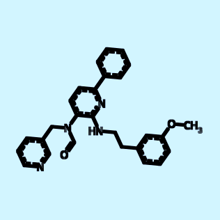 COc1cccc(CCNc2nc(-c3ccccc3)ccc2N(C=O)Cc2cccnc2)c1